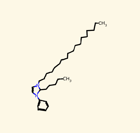 CCCCCCCCCCCCCCCCCCN1C=CN(c2ccccc2)C1CCCCC